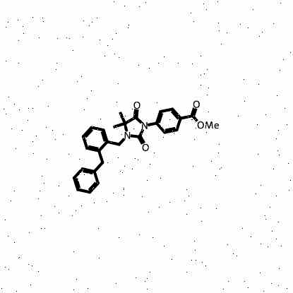 COC(=O)c1ccc(N2C(=O)N(Cc3ccccc3Cc3ccccc3)C(C)(C)C2=O)cc1